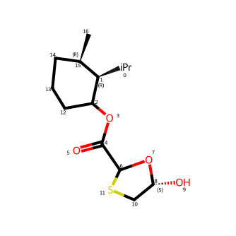 CC(C)[C@H]1C(OC(=O)C2O[C@H](O)CS2)CCC[C@H]1C